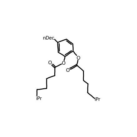 CCCCCCCCCCc1ccc(OC(=O)CCCCC(C)C)c(OC(=O)CCCCC(C)C)c1